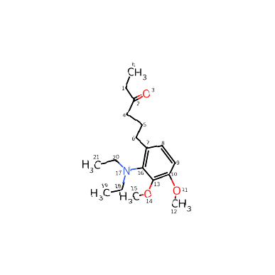 CCC(=O)CCCc1ccc(OC)c(OC)c1N(CC)CC